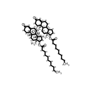 CCCCCCCCCC(=O)O[C@H]1CCC2C3CCC4=CC(=O)CC[C@]4(C)C3CC[C@@]21C.CCCCCCCCCCC(=O)O[C@H]1CC[C@H]2[C@@H]3CCC4=CC(=O)CC[C@]4(C)[C@H]3CC[C@]12C